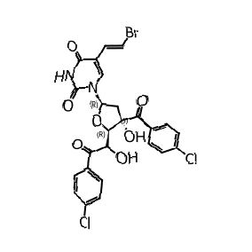 O=C(c1ccc(Cl)cc1)C(O)[C@H]1O[C@@H](n2cc(C=CBr)c(=O)[nH]c2=O)C[C@@]1(O)C(=O)c1ccc(Cl)cc1